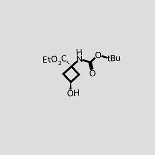 CCOC(=O)[C@]1(NC(=O)OC(C)(C)C)C[C@@H](O)C1